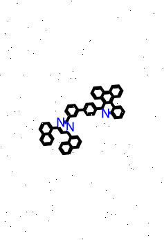 c1cc(-c2ccc(-c3nc4ccccc4c4c5ccccc5c5ccccc5c34)cc2)cc(-c2nc(-c3cccc4ccccc34)cc(-c3cccc4ccccc34)n2)c1